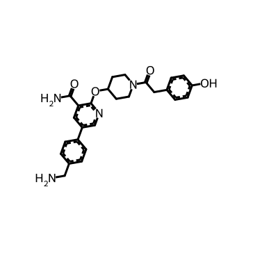 NCc1ccc(-c2cnc(OC3CCN(C(=O)Cc4ccc(O)cc4)CC3)c(C(N)=O)c2)cc1